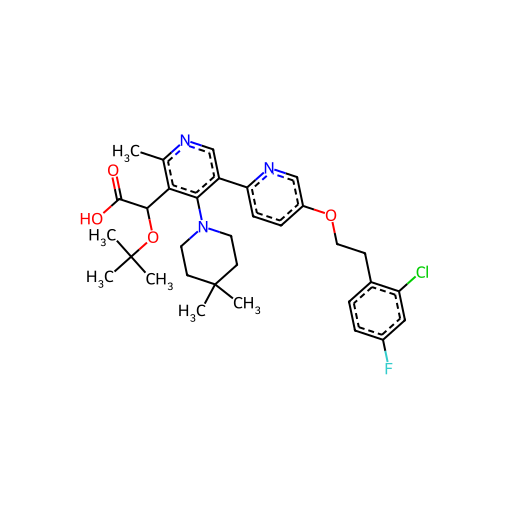 Cc1ncc(-c2ccc(OCCc3ccc(F)cc3Cl)cn2)c(N2CCC(C)(C)CC2)c1C(OC(C)(C)C)C(=O)O